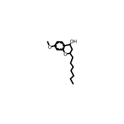 CCCCCCCC1CC(O)c2ccc(OC)cc2O1